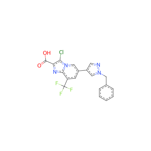 O=C(O)c1nc2c(C(F)(F)F)cc(-c3cnn(Cc4ccccc4)c3)cn2c1Cl